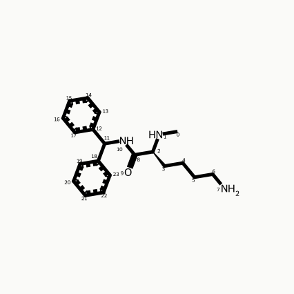 CN[C@@H](CCCCN)C(=O)NC(c1ccccc1)c1ccccc1